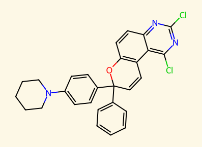 Clc1nc(Cl)c2c3c(ccc2n1)OC(c1ccccc1)(c1ccc(N2CCCCC2)cc1)C=C3